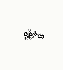 CCn1c(=O)c(C(=O)Nc2nnc(-c3ccc4ccccc4n3)s2)c(O)c2ccccc21